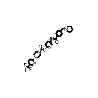 O=C(Nc1ccc(OC(=O)N2CCN(c3ccc(C(F)(F)F)cn3)CC2)nc1)c1ccc(CN2CCCCC2)cc1